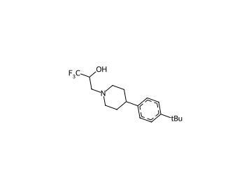 CC(C)(C)c1ccc(C2CCN(CC(O)C(F)(F)F)CC2)cc1